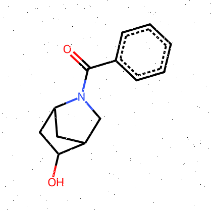 O=C(c1ccccc1)N1CC2CC1CC2O